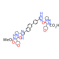 COC(=O)NC(C(=O)N1[C@H](C)CC[C@H]1c1nc(-c2ccc3cc(-c4ccc(-c5c[nH]c([C@@H]6CC[C@@H](C)N6C(=O)C(NC(=O)O)C6CCOCC6)n5)cc4)ccc3c2)c[nH]1)C1CCOCC1